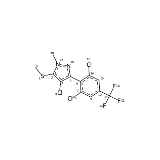 CSc1c(Cl)c(-c2c(Cl)cc(C(F)(F)F)cc2Cl)nn1C